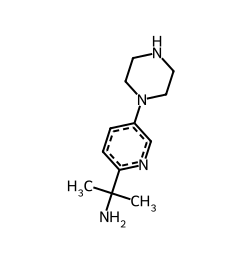 CC(C)(N)c1ccc(N2CCNCC2)cn1